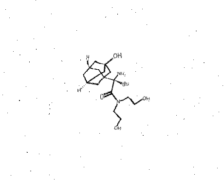 CC(C)(C)[C@@](N)(C(=O)N(CCO)CCO)C12C[C@@H]3C[C@@H](CC(O)(C3)C1)C2